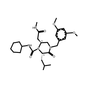 CNC(=O)C[C@H]1CN(Cc2cc(OC)cc(OC)c2)C(=O)[C@H](CC(C)C)N1C(=O)NC1CCCCC1